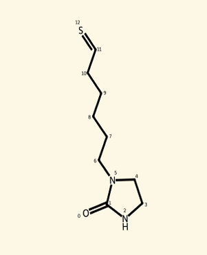 O=C1NCCN1CCCCCC=S